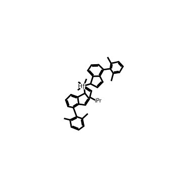 Cc1cccc(C)c1-c1cccc2c1C=C[CH]2[Hf]([CH3])([CH3])([CH3])(=[CH]CC(C)C)[CH]1C=Cc2c(-c3c(C)cccc3C)cccc21